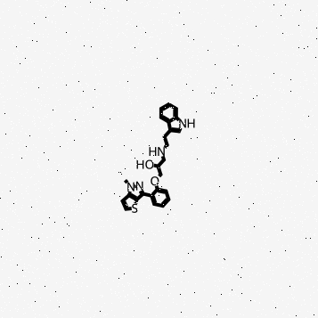 Cn1nc(-c2ccccc2OCC(O)CNCCc2c[nH]c3ccccc23)c2sccc21